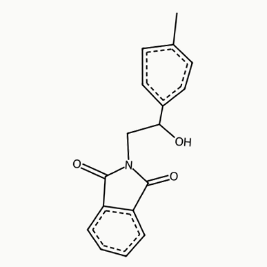 Cc1ccc(C(O)CN2C(=O)c3ccccc3C2=O)cc1